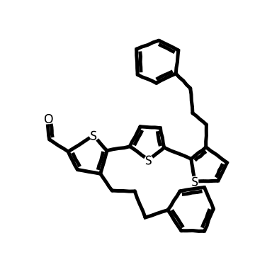 O=Cc1cc(CCCc2ccccc2)c(-c2ccc(-c3sccc3CCCc3ccccc3)s2)s1